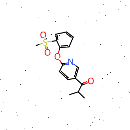 CC(C)C(=O)c1ccc(Oc2ccccc2S(C)(=O)=O)nc1